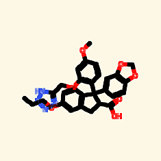 CCCOc1ccc2c(c1)CC(C(=O)O)C2(c1ccc2c(c1)OCO2)c1ccc(OC)cc1OCc1nnn[nH]1